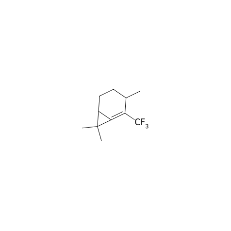 CC1CCC2C(=C1C(F)(F)F)C2(C)C